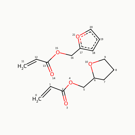 C=CC(=O)OCC1CCCO1.C=CC(=O)OCc1ccco1